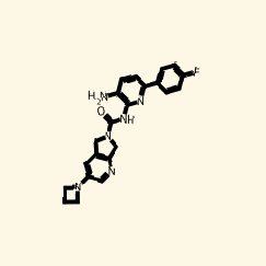 Nc1ccc(-c2ccc(F)cc2)nc1NC(=O)N1Cc2cc(N3CCC3)cnc2C1